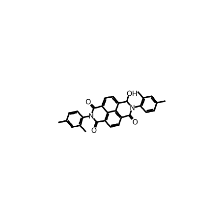 Cc1ccc(N2C(=O)c3ccc4c5c(ccc(c35)C2=O)C(O)N(c2ccc(C)cc2C)C4=O)c(C)c1